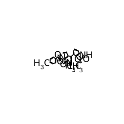 CCC1Oc2c(cccc2-c2cn(C)c(=O)c3c2ccn3S(=O)(=O)c2ccc(C)cc2)NC1=O